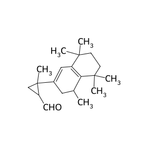 CC1CC(C2(C)CC2C=O)=CC2=C1C(C)(C)CCC2(C)C